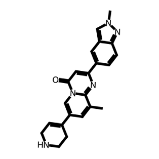 Cc1cc(C2=CCNCC2)cn2c(=O)cc(-c3ccc4nn(C)cc4c3)nc12